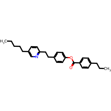 CCCCCc1ccc(CCc2ccc(OC(=O)c3ccc(CCC)cc3)cc2)nc1